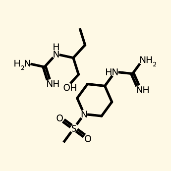 CCC(CO)NC(=N)N.CS(=O)(=O)N1CCC(NC(=N)N)CC1